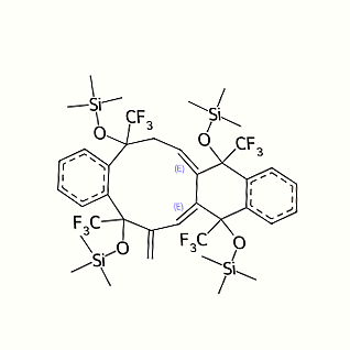 C=C1/C=C2\C(=C/CC(O[Si](C)(C)C)(C(F)(F)F)c3ccccc3C1(O[Si](C)(C)C)C(F)(F)F)C(O[Si](C)(C)C)(C(F)(F)F)c1ccccc1C2(O[Si](C)(C)C)C(F)(F)F